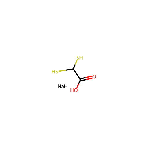 O=C(O)C(S)S.[NaH]